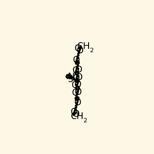 C=CC(=O)OCCCCCCOc1ccc(CCC(=O)OC2CCC(C(=O)Oc3ccc(OC(=O)C4CCC(OC(=O)CCc5ccc(OCCCCCCOC(=O)C=C)cc5)CC4)c(/C=C/c4nc5ccccc5s4)c3)CC2)cc1